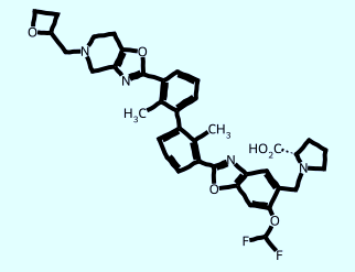 Cc1c(-c2nc3c(o2)CCN(CC2CCO2)C3)cccc1-c1cccc(-c2nc3cc(CN4CCC[C@H]4C(=O)O)c(OC(F)F)cc3o2)c1C